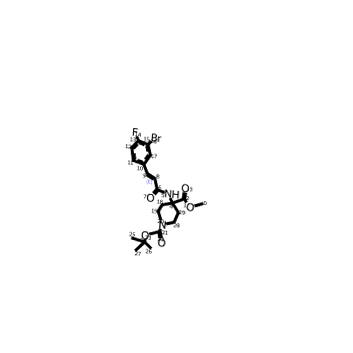 COC(=O)C1(NC(=O)/C=C/c2ccc(F)c(Br)c2)CCN(C(=O)OC(C)(C)C)CC1